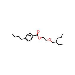 CCCCC1=CC2CC1CC2C(=O)OCCOCC(CC)CCC